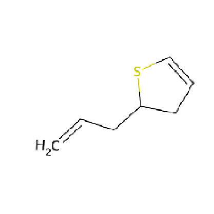 C=CCC1CC=CS1